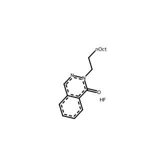 CCCCCCCCCCn1ncc2ccccc2c1=O.F